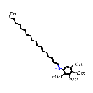 CCCCCCCCCCCCCCCCCCCCCCCCCCCCNc1cc(CCCCCCCC)c(CCCCCCCC)c(CCCCCCCC)c1CCCCCCCC